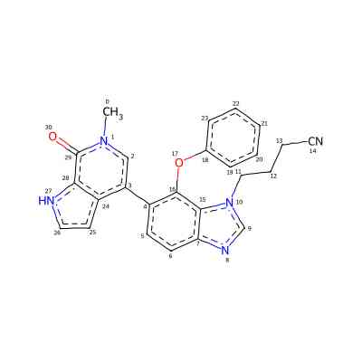 Cn1cc(-c2ccc3ncn(CCCC#N)c3c2Oc2ccccc2)c2cc[nH]c2c1=O